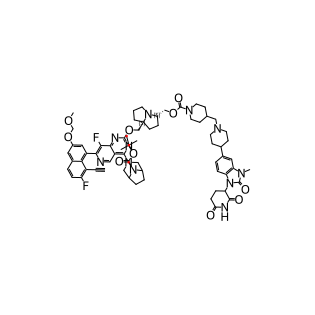 C#Cc1c(F)ccc2cc(OCOC)cc(-c3ncc4c(N5CC6CCC(C5)N6C(=O)OC(C)(C)C)nc(OC[C@@]56CCCN5[C@H](COC(=O)N5CCC(CN7CCC(c8ccc9c(c8)n(C)c(=O)n9C8CCC(=O)NC8=O)CC7)CC5)CC6)nc4c3F)c12